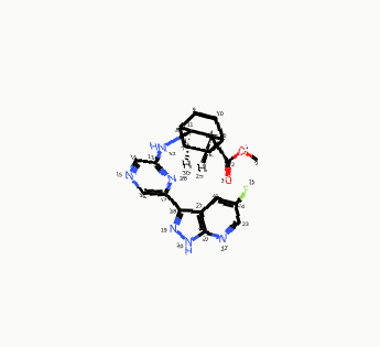 COC(=O)[C@H]1C2CCC(CC2)[C@@H]1Nc1cncc(-c2n[nH]c3ncc(F)cc23)n1